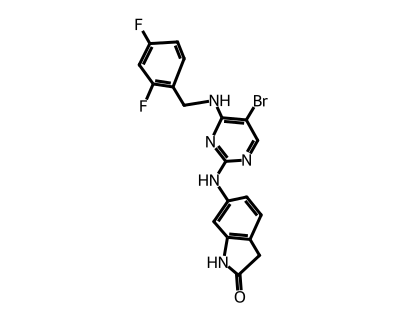 O=C1Cc2ccc(Nc3ncc(Br)c(NCc4ccc(F)cc4F)n3)cc2N1